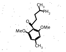 COc1cc(C)cc(OC)c1C(=O)CCC(C)P